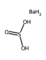 O=S(O)O.[BaH2]